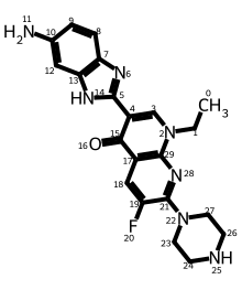 CCn1cc(-c2nc3ccc(N)cc3[nH]2)c(=O)c2cc(F)c(N3CCNCC3)nc21